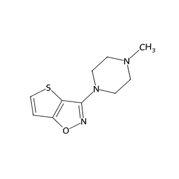 CN1CCN(c2noc3ccsc23)CC1